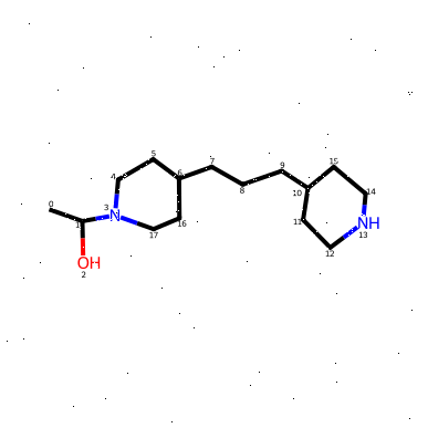 CC(O)N1CCC(CCCC2CCNCC2)CC1